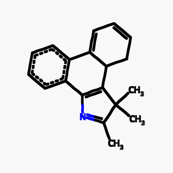 CC1=NC2=C(C3CC=CC=C3c3ccccc32)C1(C)C